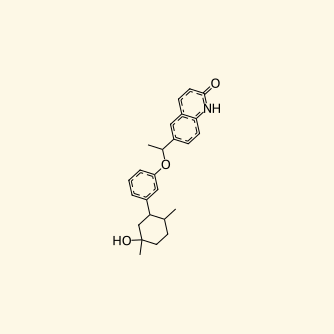 CC(Oc1cccc(C2CC(C)(O)CCC2C)c1)c1ccc2[nH]c(=O)ccc2c1